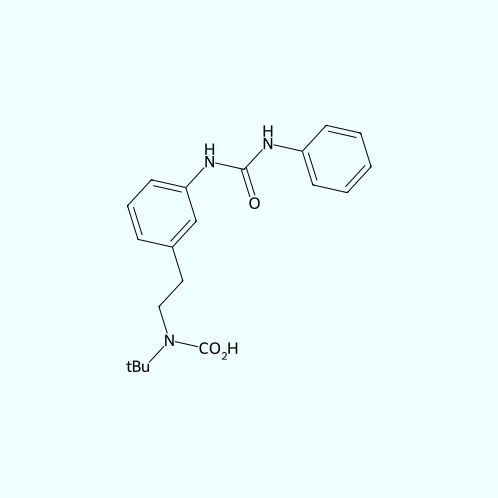 CC(C)(C)N(CCc1cccc(NC(=O)Nc2ccccc2)c1)C(=O)O